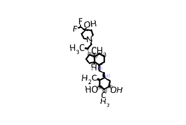 C=C1/C(=C\C=C2/CCC[C@]3(C)[C@@H](C(C)CN4CCC(O)(C(F)F)CC4)CC[C@@H]23)C[C@@H](O)[C@H](C)[C@@H]1O